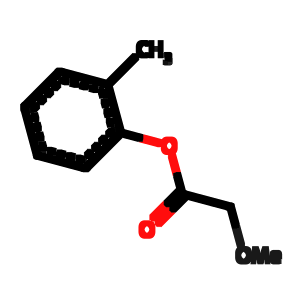 COCC(=O)Oc1ccccc1C